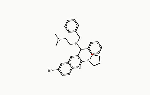 CN(C)CCN(Cc1ccccc1)C(c1ccccc1)c1cc2cc(Br)ccc2nc1N1CCCC1